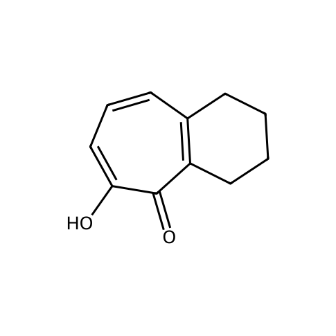 O=c1c(O)cccc2c1CCCC2